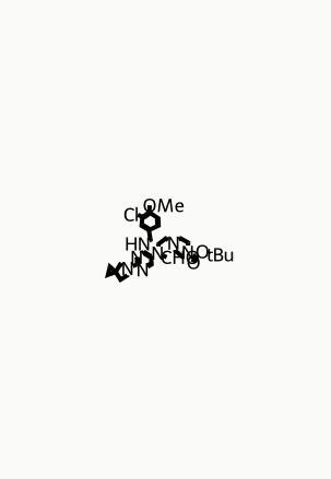 COc1ccc(CNc2nc(N3CCC4(CC4)C3)ncc2N(C=O)CCN2CCN(C(=O)OC(C)(C)C)CC2)cc1Cl